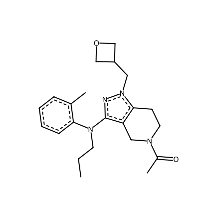 CCCN(c1ccccc1C)c1nn(CC2COC2)c2c1CN(C(C)=O)CC2